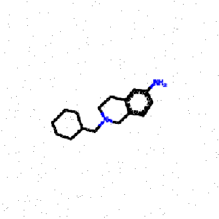 Nc1ccc2c(c1)CCN(CC1CCCCC1)C2